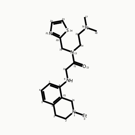 CCN1CCc2cccc(NCC(=O)N(CCN(C)C)Cc3nccs3)c2C1